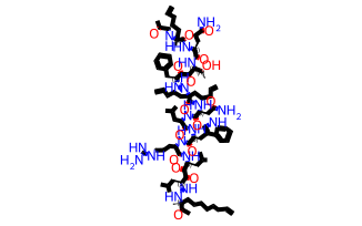 C=CCCCCCC[C@](C)(NN[C@@H](CC(C)C)C(=O)C(=O)[C@H](CC(C)C)NC(=O)C(CCCNC(=N)N)NC(=O)[C@H](Cc1c[nH]c2ccccc12)NC(=O)C(CC(C)C)NC(=O)[C@H](CC(N)=O)NC(=O)C(CCCC=C)(CCCC=C)NN[C@@H](Cc1ccccc1)C(=O)C(=O)[C@@H](NC(=O)[C@H](CCC(N)=O)NC(=O)[C@@](C)(CCCC=C)NCC(C)=O)[C@@H](C)O)C(C)=O